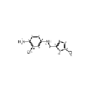 Nc1ccc(NCc2ccc(Cl)s2)cc1Cl